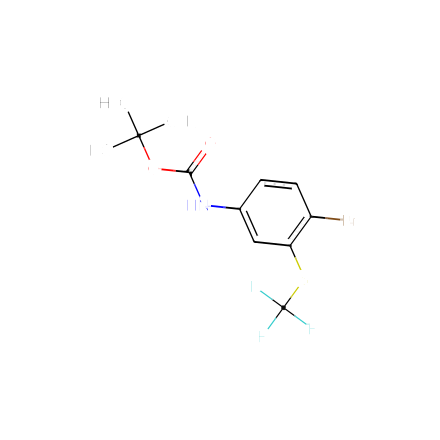 CC(C)(C)OC(=O)Nc1ccc(Br)c(SC(F)(F)F)c1